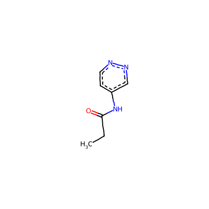 CCC(=O)Nc1ccnnc1